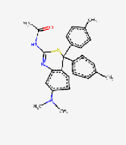 CC(=O)NC1=Nc2cc(N(C)C)ccc2C(c2ccc(C)cc2)(c2ccc(C)cc2)S1